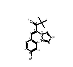 CC(C)(C)C(=O)C(=Cc1ccc(I)cc1)n1cncn1